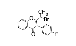 CC(Br)c1oc2ccccc2c(=O)c1-c1ccc(F)cc1